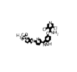 CS(=O)(=O)N1CCC2(CN(c3ccc(-c4n[nH]c5ccc(O[C@H](N)c6c(Cl)cncc6Cl)cc45)cn3)C2)C1